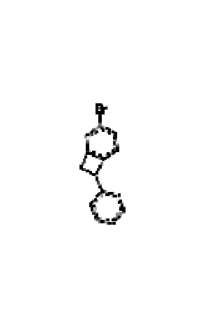 Brc1ccc2c(c1)CC2c1ccccc1